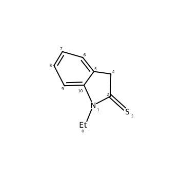 CCN1C(=S)Cc2ccccc21